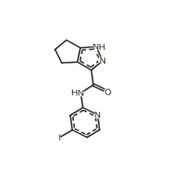 O=C(Nc1cc(I)ccn1)c1n[nH]c2c1CCC2